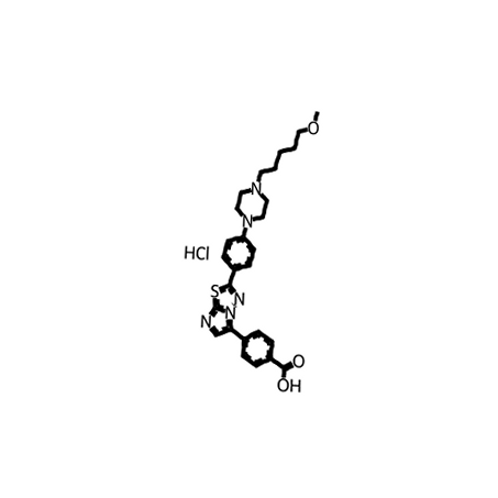 COCCCCCN1CCN(c2ccc(-c3nn4c(-c5ccc(C(=O)O)cc5)cnc4s3)cc2)CC1.Cl